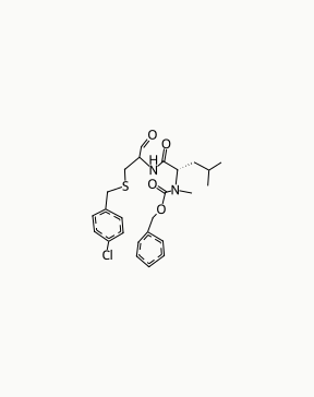 CC(C)C[C@@H](C(=O)NC(C=O)CSCc1ccc(Cl)cc1)N(C)C(=O)OCc1ccccc1